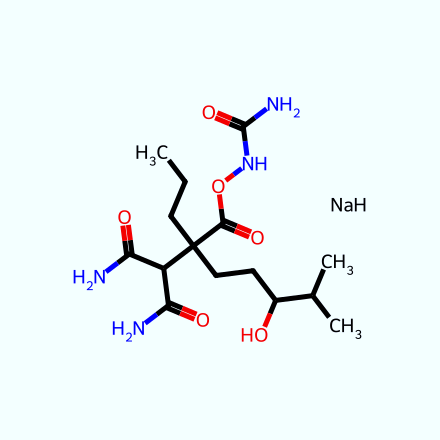 CCCC(CCC(O)C(C)C)(C(=O)ONC(N)=O)C(C(N)=O)C(N)=O.[NaH]